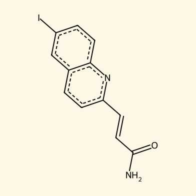 NC(=O)C=Cc1ccc2cc(I)ccc2n1